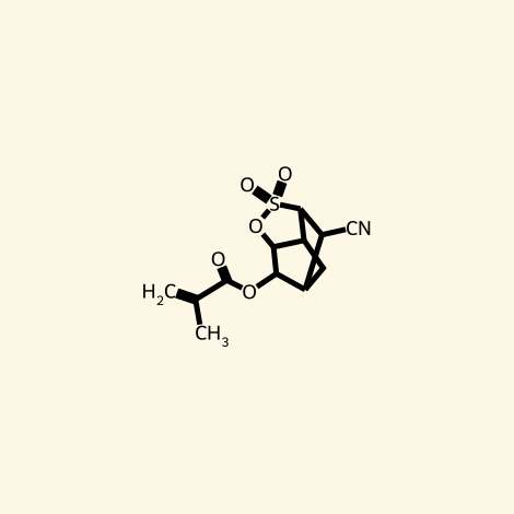 C=C(C)C(=O)OC1C2CC3C1OS(=O)(=O)C3C2C#N